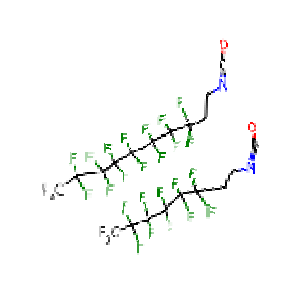 O=C=NCCC(F)(F)C(F)(F)C(F)(F)C(F)(F)C(F)(F)C(F)(F)C(F)(F)C(F)(F)F.O=C=NCCC(F)(F)C(F)(F)C(F)(F)C(F)(F)C(F)(F)C(F)(F)F